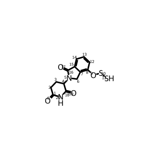 O=C1CCC(N2Cc3c(OSS)cccc3C2=O)C(=O)N1